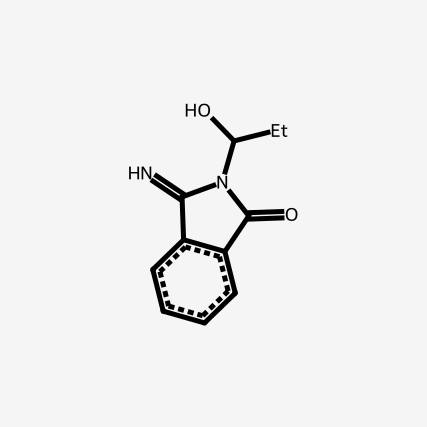 CCC(O)N1C(=N)c2ccccc2C1=O